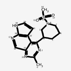 Cc1nc(C2CCCN(S(C)(=O)=O)C2)c2c(cnc3[nH]ccc32)n1